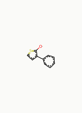 [O]c1sccc1-c1ccccc1